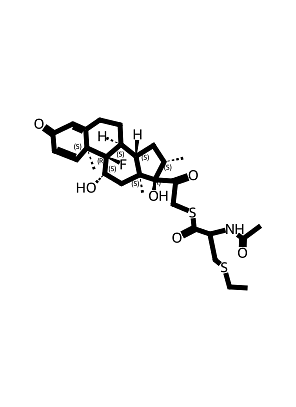 CCSCC(NC(C)=O)C(=O)SCC(=O)[C@@]1(O)[C@@H](C)C[C@H]2[C@@H]3CCC4=CC(=O)C=C[C@]4(C)[C@@]3(F)[C@@H](O)C[C@@]21C